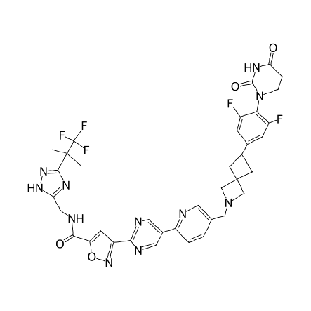 CC(C)(c1n[nH]c(CNC(=O)c2cc(-c3ncc(-c4ccc(CN5CC6(CC(c7cc(F)c(N8CCC(=O)NC8=O)c(F)c7)C6)C5)cn4)cn3)no2)n1)C(F)(F)F